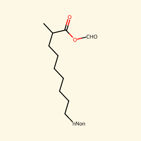 CCCCCCCCCCCCCCCCC(C)C(=O)OC=O